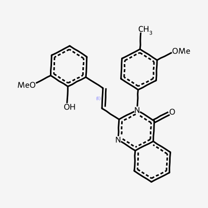 COc1cc(-n2c(/C=C/c3cccc(OC)c3O)nc3ccccc3c2=O)ccc1C